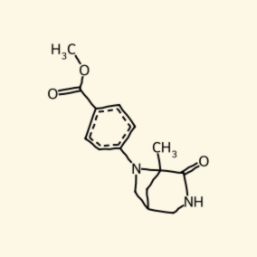 COC(=O)c1ccc(N2CC3CNC(=O)C2(C)C3)cc1